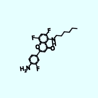 CCCCCCNc1c(F)cc(F)c2oc(-c3ccc(N)c(F)c3)cc(=O)c12